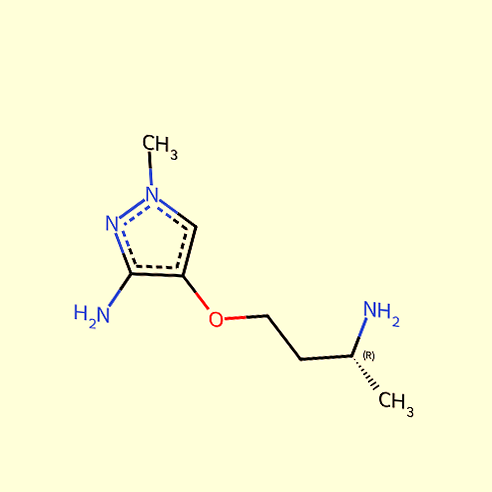 C[C@@H](N)CCOc1cn(C)nc1N